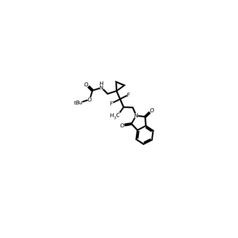 CC(CN1C(=O)c2ccccc2C1=O)C(F)(F)C1(CNC(=O)OC(C)(C)C)CC1